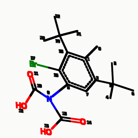 Cc1c(C(C)(C)C)cc(N(C(=O)O)C(=O)O)c(Br)c1C(C)(C)C